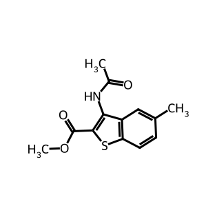 COC(=O)c1sc2ccc(C)cc2c1NC(C)=O